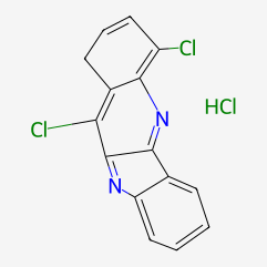 Cl.ClC1=c2nc3c(c(Cl)c2CC=C1)=Nc1ccccc1-3